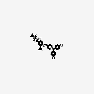 O=C(NS(=O)(=O)C1CC1)c1cc(C2CC2)c(OCC2CCN(C(c3ccc(Cl)cc3)c3ccc(Cl)cc3)CC2)cc1F